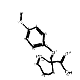 COc1ccc(O[C@@]2(C(=O)O)CCCN2)cc1